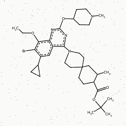 CCOc1c(Br)c(C2CC2)cc2c(N3CCC4(CCC(C(=O)OC(C)(C)C)C(C)C4)CC3)nc(OC3CCN(C)CC3)nc12